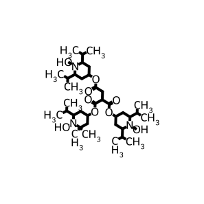 CC(C)C1CC(OC(=O)CC(C(=O)OC2CC(C(C)C)N(O)C(C(C)C)C2)C(=O)OC2CC(C(C)C)N(O)C(C)(C)C2)CC(C(C)C)N1O